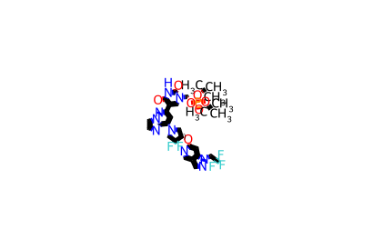 CC(C)(C)OP(=O)(OCn1cc(-c2cc(N3C[C@H](Oc4cc5c(cn4)cnn5CC(F)(F)F)C(F)(F)C3)c3nccn3n2)c(=O)[nH]c1=O)OC(C)(C)C